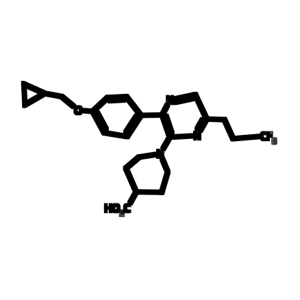 O=C(O)C1CCN(c2nc(CCC(F)(F)F)cnc2-c2ccc(OCC3CC3)cc2)CC1